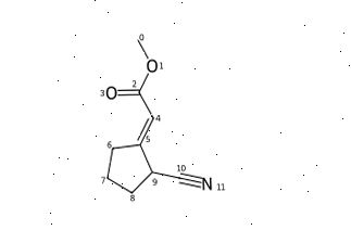 COC(=O)C=C1CCCC1C#N